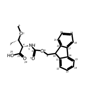 CO[C@@H](C)[C@H](NC(=O)OCC1c2ccccc2-c2ccccc21)C(=O)O